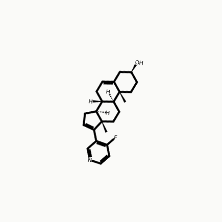 C[C@]12CC[C@H](O)CC1=CC[C@@H]1[C@@H]2CC[C@]2(C)C(c3cnccc3F)=CC[C@@H]12